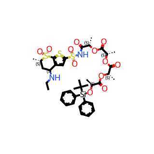 CCN[C@H]1C[C@H](C)S(=O)(=O)c2sc(S(=O)(=O)NC(=O)[C@H](C)OC(=O)[C@H](C)OC(=O)[C@H](C)OC(=O)[C@H](C)O[Si](c3ccccc3)(c3ccccc3)C(C)(C)C)cc21